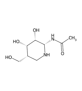 CC(=O)N[C@@H]1NC[C@H](CO)[C@H](O)[C@@H]1O